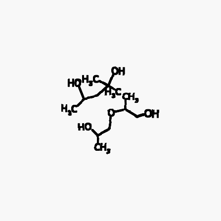 CC(O)CC(C)(C)O.CC(O)COC(C)CO